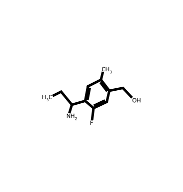 CCC(N)c1cc(C)c(CO)cc1F